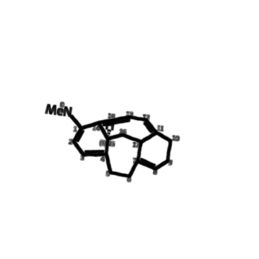 CNC1=CC=C2CCC3=CCCC4=CC=C1[C@H]2CC43